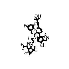 Cn1ncc2c(Cl)ccc(-c3ccc(C#CC(C)(C)O)nc3[C@H](Cc3cc(F)cc(F)c3)NC(=O)Cn3nc(C(F)F)c4c3C(F)(F)C3C[C@H]43)c21